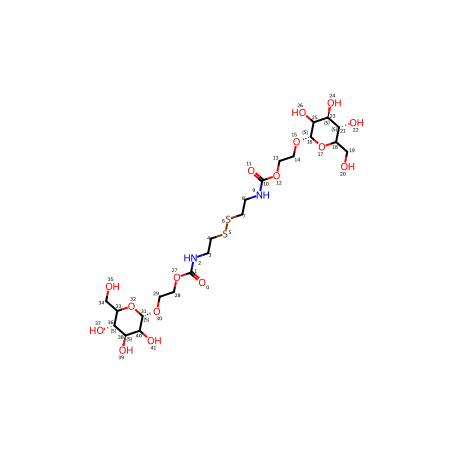 O=C(NCCSSCCNC(=O)OCCO[C@H]1OC(CO)[C@@H](O)[C@H](O)C1O)OCCO[C@H]1OC(CO)[C@@H](O)[C@H](O)C1O